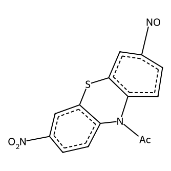 CC(=O)N1c2ccc(N=O)cc2Sc2cc([N+](=O)[O-])ccc21